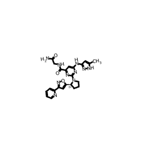 Cc1cc(Nc2cc(C(=O)NCC(N)=O)nc(N3CCC[C@H]3c3cc(-c4ccccn4)no3)n2)n[nH]1